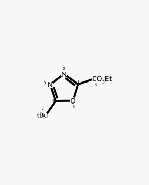 CCOC(=O)c1nnc(C(C)(C)C)o1